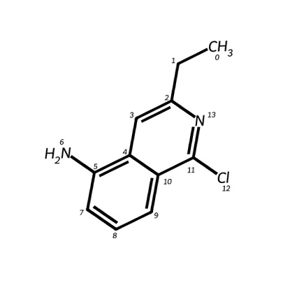 CCc1cc2c(N)cccc2c(Cl)n1